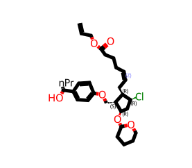 C=CCOC(=O)CCC/C=C\C[C@@H]1[C@@H](COc2ccc(C(O)CCC)cc2)[C@H](OC2CCCCO2)C[C@H]1Cl